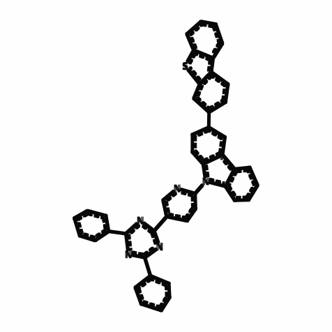 c1ccc(-c2nc(-c3ccccc3)nc(-c3ccc(-n4c5ccccc5c5cc(-c6ccc7c(c6)sc6ccccc67)ccc54)nc3)n2)cc1